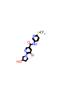 O=C(Nc1ccc(SC(F)(F)F)nc1)c1cnc(N2CCC(O)C2)c(Br)c1